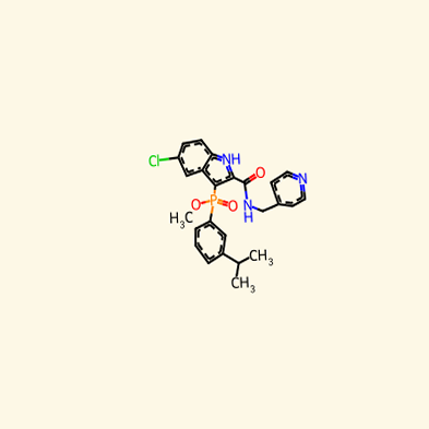 COP(=O)(c1cccc(C(C)C)c1)c1c(C(=O)NCc2ccncc2)[nH]c2ccc(Cl)cc12